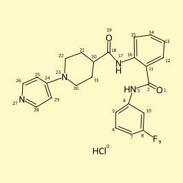 Cl.O=C(Nc1cccc(F)c1)c1ccccc1NC(=O)C1CCN(c2ccncc2)CC1